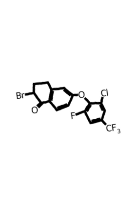 O=C1c2ccc(Oc3c(F)cc(C(F)(F)F)cc3Cl)cc2CCC1Br